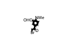 CNc1ccc(C(=O)CBr)cc1C=O